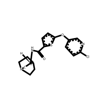 O=C(N[C@H]1CN2CCC1CC2)c1ccc(Oc2ccc(Cl)nc2)s1